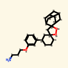 NCCCOc1cccc([C@@H]2CCC[C@@]3(C2)CC2(OO3)C3CC4CC(C3)CC2C4)c1